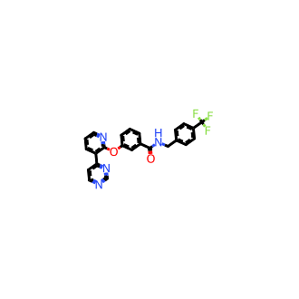 O=C(NCc1ccc(C(F)(F)F)cc1)c1cccc(Oc2ncccc2-c2ccncn2)c1